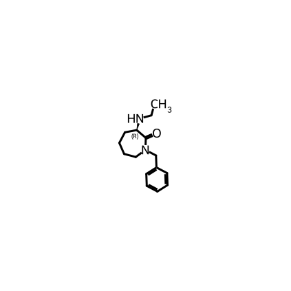 CCN[C@@H]1CCCCN(Cc2ccccc2)C1=O